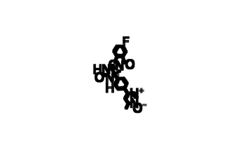 CC1C=C(c2ccc([C@]3(CN4Cc5ccc(F)cc5C4=O)NC(=O)NC3=O)cc2)C=C[NH+]1[O-]